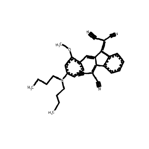 CCCCN(CCCC)c1ccc(C=C2C(=C(C#N)C#N)c3ccccc3C2=C(C#N)C#N)c(OC)c1